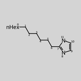 CCCCCCCCCCCCC1=NC=C[N]1